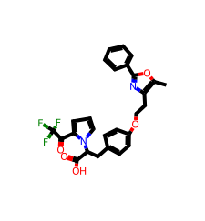 Cc1oc(-c2ccccc2)nc1CCOc1ccc(CC(C(=O)O)n2cccc2C(=O)C(F)(F)F)cc1